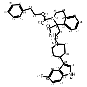 NC(=O)C1(CCN2CCC(c3c[nH]c4ccc(F)cc34)CC2)c2ccccc2CCN1C(=O)OCCc1ccccc1